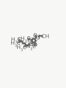 C#CCOC(=O)c1cc(OC)c(OCC=C(C)CCC=C(C)C)c(OC)c1